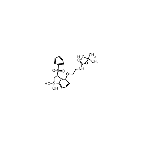 CC(C)(C)OC(=O)NCCOc1cccc2c1C(S(=O)(=O)c1ccccc1)CS2(O)O